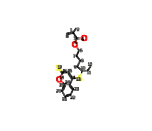 C=C(C)C(=O)OCCCCC(CC)Sc1cc(=S)oc2ccccc12